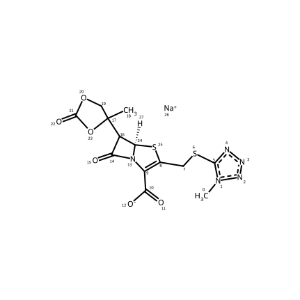 Cn1nnnc1SCC1=C(C(=O)[O-])N2C(=O)C(C3(C)COC(=O)O3)[C@H]2S1.[Na+]